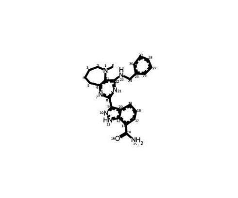 CN1CCCCc2nc(-c3n[nH]c4c(C(N)=O)cccc34)nc(NCc3ccccc3)c21